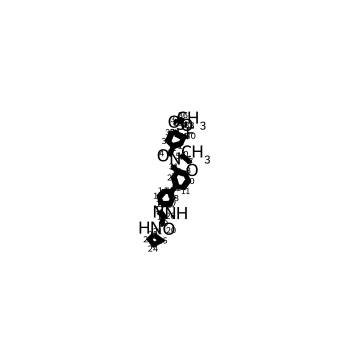 Cc1c(C(=O)N2CCOc3ccc(-c4ccc5nc(C(=O)NC6CCC6)[nH]c5c4)cc3C2)ccc(S(C)(=O)=O)c1F